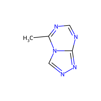 Cc1ncnc2nncn12